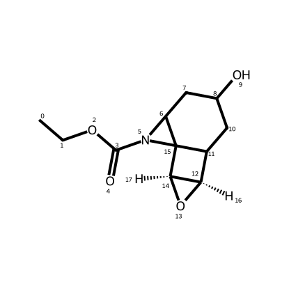 CCOC(=O)N1C2CC(O)CC3[C@H]4O[C@H]4C321